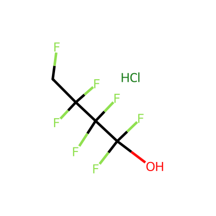 Cl.OC(F)(F)C(F)(F)C(F)(F)CF